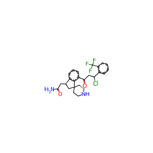 NC(=O)CC1CC2(CCNCC2)c2c(C(=O)CC(Cl)c3ccccc3C(F)(F)F)cccc21